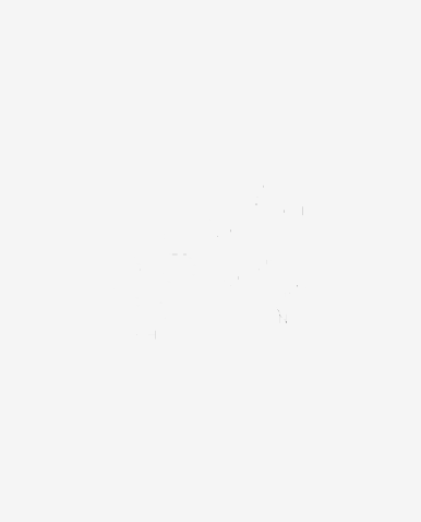 C[C@H]1O[C@@H](OC2CC(O)(OCC(=O)CO)Cc3c2cc2c(c3O)C(=O)c3cccc(O)c3C2=O)C[C@H](N)[C@H]1O